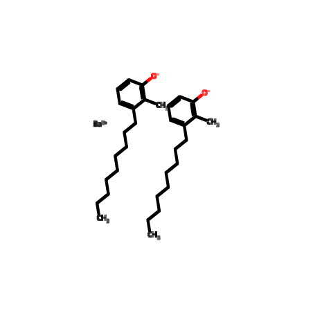 CCCCCCCCCc1cccc([O-])c1C.CCCCCCCCCc1cccc([O-])c1C.[Ba+2]